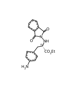 CCOC(=O)[C@H](Cc1ccc(N)cc1)NN1C(=O)c2ccccc2C1=O